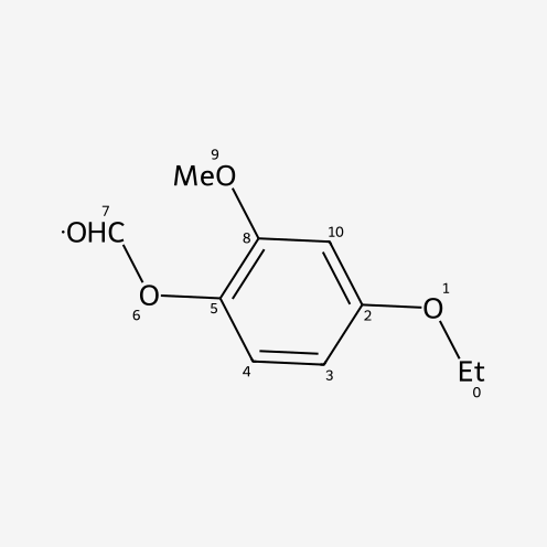 CCOc1ccc(O[C]=O)c(OC)c1